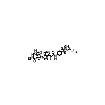 C=CCN(C)S(=O)(=O)c1ccc(NC(=O)Nc2ncnc3c2ncn3[C@@H]2O[C@H](C(=O)NCC)[C@@H](O)[C@H]2O)cc1